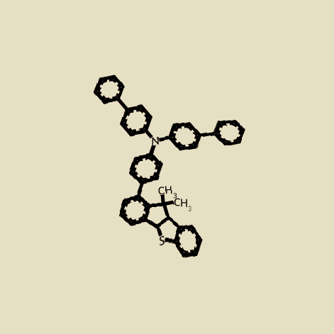 CC1(C)c2c(-c3ccc(N(c4ccc(-c5ccccc5)cc4)c4ccc(-c5ccccc5)cc4)cc3)cccc2C2Sc3ccccc3C21